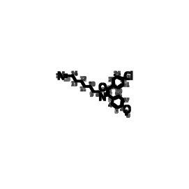 COc1ccc(-c2nc(CCCCCCC#N)oc2-c2ccc(Cl)cc2)cc1